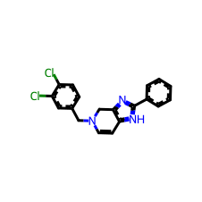 Clc1ccc(CN2C=Cc3[nH]c(-c4ccccc4)nc3C2)cc1Cl